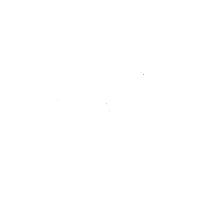 O=C(Cc1cccnc1)NCCSc1c(Cl)cccc1Cl